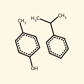 CC(C)c1ccccc1.Cc1ccc(O)cc1